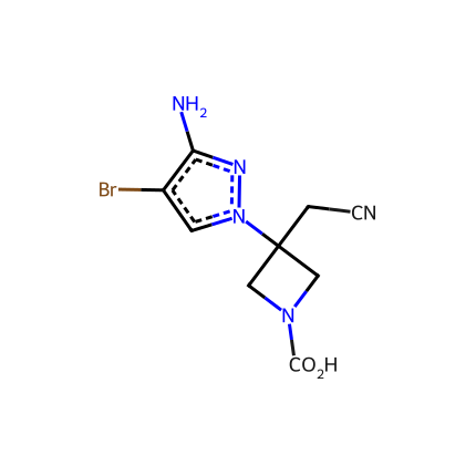 N#CCC1(n2cc(Br)c(N)n2)CN(C(=O)O)C1